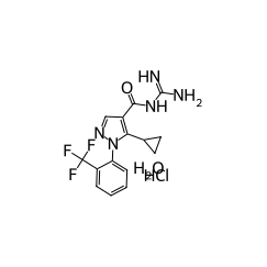 Cl.N=C(N)NC(=O)c1cnn(-c2ccccc2C(F)(F)F)c1C1CC1.O